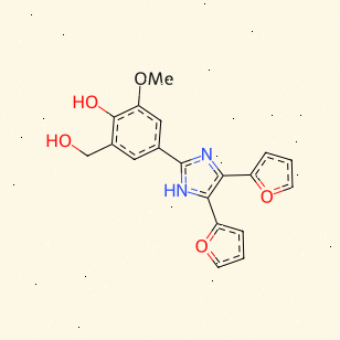 COc1cc(-c2nc(-c3ccco3)c(-c3ccco3)[nH]2)cc(CO)c1O